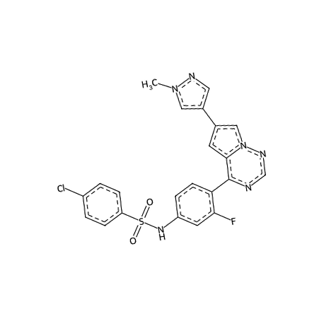 Cn1cc(-c2cc3c(-c4ccc(NS(=O)(=O)c5ccc(Cl)cc5)cc4F)ncnn3c2)cn1